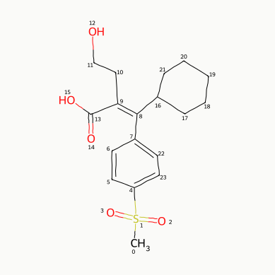 CS(=O)(=O)c1ccc(C(=C(CCO)C(=O)O)C2CCCCC2)cc1